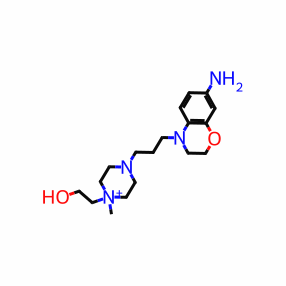 C[N+]1(CCO)CCN(CCCN2CCOc3cc(N)ccc32)CC1